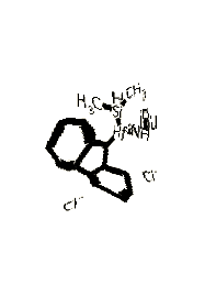 CCC(C)[NH][Hf+2]([CH]1c2ccccc2-c2ccccc21)[SiH](C)C.[Cl-].[Cl-]